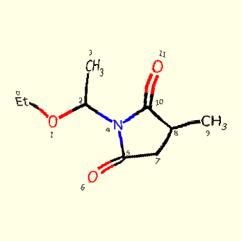 CCOC(C)N1C(=O)CC(C)C1=O